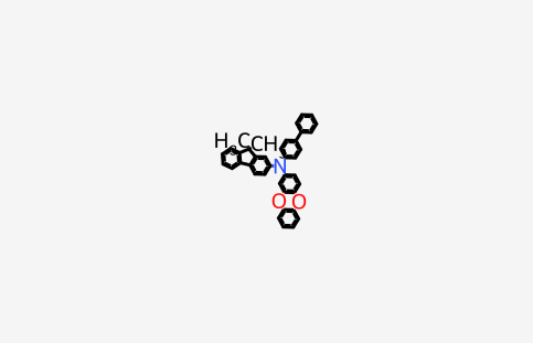 CC1(C)c2ccccc2-c2ccc(N(c3ccc(-c4ccccc4)cc3)c3ccc4c(c3)Oc3ccccc3O4)cc21